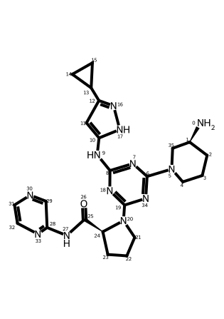 N[C@H]1CCCN(c2nc(Nc3cc(C4CC4)n[nH]3)nc(N3CCC[C@H]3C(=O)Nc3cnccn3)n2)C1